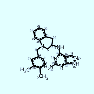 Cc1ccc(CN2CC(Nc3nc(N)nc4[nH]ncc34)Cc3ccccc32)cc1C